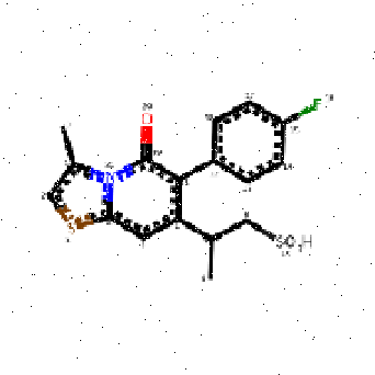 Cc1csc2cc(C(C)CS(=O)(=O)O)c(-c3ccc(F)cc3)c(=O)n12